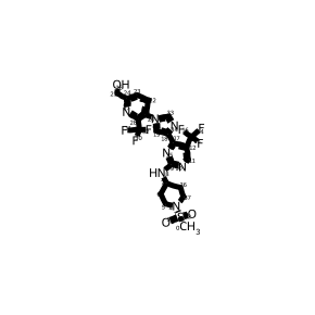 CS(=O)(=O)N1CCC(Nc2ncc(C(F)(F)F)c(-c3cn(-c4ccc(CO)nc4C(F)(F)F)cn3)n2)CC1